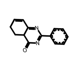 O=C1N=C(c2ccccc2)N=C2C=CCCC12